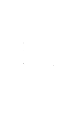 Cc1cc(-c2nn3c(c2C(=O)OCc2ccccc2)CCC3)ccc1F